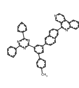 Cc1ccc(-c2cc(-c3ccc4cc(-c5nc6ccccc6c6ccncc56)ccc4c3)cc(-c3nc(-c4ccccc4)nc(-c4ccccc4)n3)c2)cc1